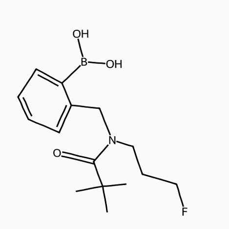 CC(C)(C)C(=O)N(CCCF)Cc1ccccc1B(O)O